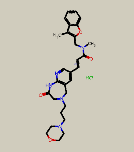 Cc1c(CN(C)C(=O)/C=C/c2cnc3c(c2)CN(CCCN2CCOCC2)CC(=O)N3)oc2ccccc12.Cl